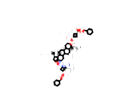 C=C(C)[C@@H]1CC[C@]2(C(=O)N[C@@H]3C[C@H](C(=O)OCc4ccccc4)C3(C)C)CC[C@]3(C)[C@H](CC[C@@H]4[C@@]5(C)CC[C@H](OC(=O)[C@H]6C[C@@H](C(=O)OCc7ccccc7)C6(C)C)C(C)(C)[C@@H]5CC[C@]43C)[C@@H]12